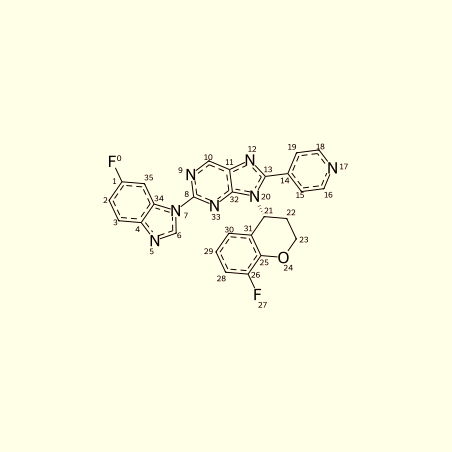 Fc1ccc2ncn(-c3ncc4nc(-c5ccncc5)n([C@@H]5CCOc6c(F)cccc65)c4n3)c2c1